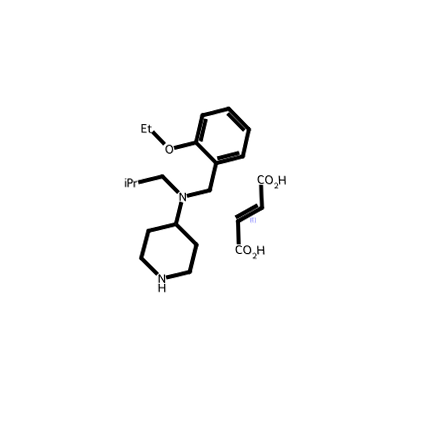 CCOc1ccccc1CN(CC(C)C)C1CCNCC1.O=C(O)/C=C/C(=O)O